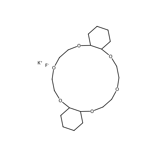 C1CCC2OCCOCCOC3CCCCC3OCCOCCOC2C1.[F-].[K+]